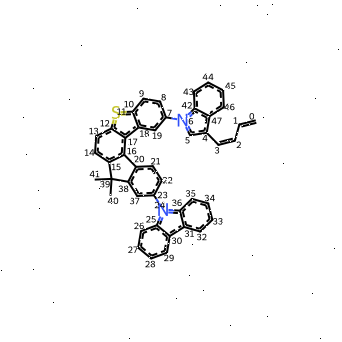 C=C/C=C\c1cn(-c2ccc3sc4ccc5c(c4c3c2)-c2ccc(-n3c4ccccc4c4ccccc43)cc2C5(C)C)c2ccccc12